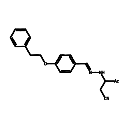 CC(=O)C(CC#N)NN=Cc1ccc(OCCc2ccccc2)cc1